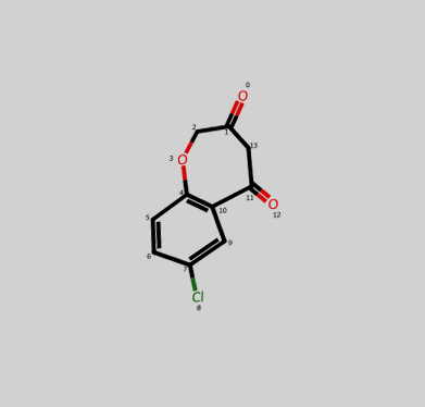 O=C1COc2ccc(Cl)cc2C(=O)C1